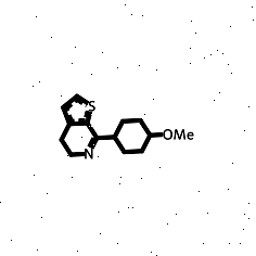 COC1CCC(C2=NCCc3ccsc32)CC1